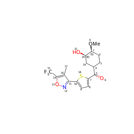 CO[C@H]1CCC(C(=O)c2ccc(-c3noc(C(F)(F)F)c3C)s2)C[C@H]1O